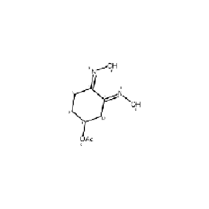 CC(=O)OC1CCC(=NO)C(=NO)C1